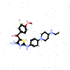 CCNC1CCN(C2C=CC(Nc3nc(N)c(C(=O)c4ccc(OC)c(F)c4)s3)=CC2)CC1